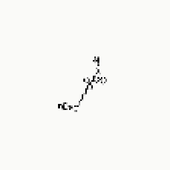 CCCCCCCCCCCCCCCCOC(=O)C1CC(=O)N(CCCN(C)C)C1